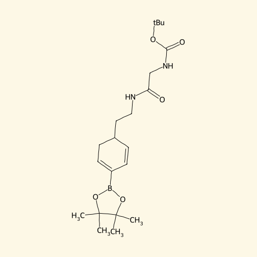 CC(C)(C)OC(=O)NCC(=O)NCCC1C=CC(B2OC(C)(C)C(C)(C)O2)=CC1